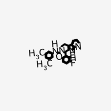 Cc1cc(C)cc(NC(=O)N2CCc3c([nH]c4ncccc34)C2c2cccc(F)c2F)c1